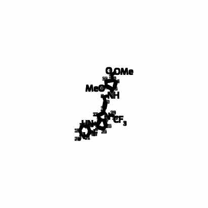 COC(=O)c1ccc(NCC#Cc2cc3c(N[C@H]4CCN(C)C[C@H]4F)cccc3n2CC(F)(F)F)c(OC)c1